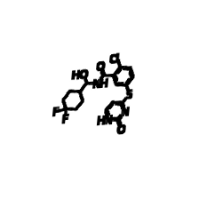 O=C(NC(O)C1CCC(F)(F)CC1)c1cc(Sc2cc[nH]c(=O)n2)ccc1Cl